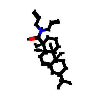 C=CCN(CC=C)C(=O)[C@]1(C)CCC[C@@]2(C)[C@H]1CC=C1CC(C(C)C)CC[C@@H]12